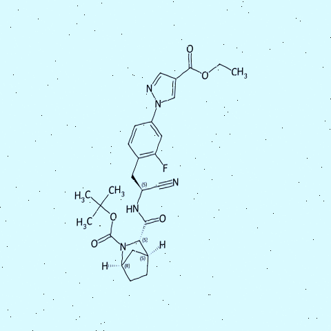 CCOC(=O)c1cnn(-c2ccc(C[C@@H](C#N)NC(=O)[C@@H]3[C@H]4CC[C@H](C4)N3C(=O)OC(C)(C)C)c(F)c2)c1